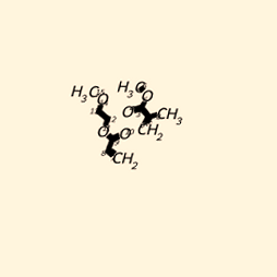 C=C(C)C(=O)OC.C=CC(=O)OCCOC